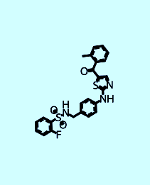 Cc1ccccc1C(=O)c1cnc(Nc2ccc(CNS(=O)(=O)c3ccccc3F)cc2)s1